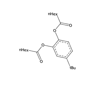 CCCCCCC(=O)Oc1ccc(C(C)(C)C)cc1OC(=O)CCCCCC